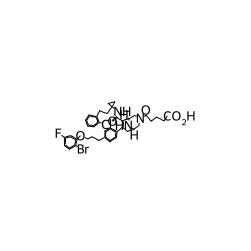 O=C(O)CCCC(=O)N1C[C@H]2CC(c3ccc(CCCOc4cc(F)ccc4Br)cc3)=C(C(=O)NC3(CCc4ccccc4Cl)CC3)[C@@H](C1)N2